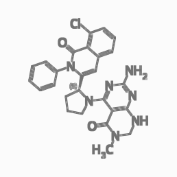 CN1CNc2nc(N)nc(N3CCC[C@H]3c3cc4cccc(Cl)c4c(=O)n3-c3ccccc3)c2C1=O